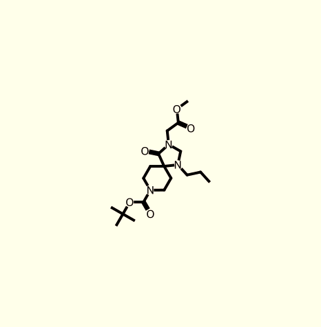 CCCN1CN(CC(=O)OC)C(=O)C12CCN(C(=O)OC(C)(C)C)CC2